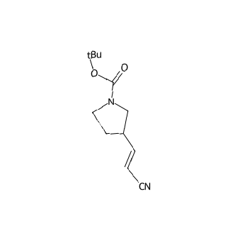 CC(C)(C)OC(=O)N1CCC(C=CC#N)C1